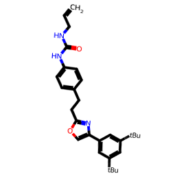 C=CCNC(=O)Nc1ccc(CCc2nc(-c3cc(C(C)(C)C)cc(C(C)(C)C)c3)co2)cc1